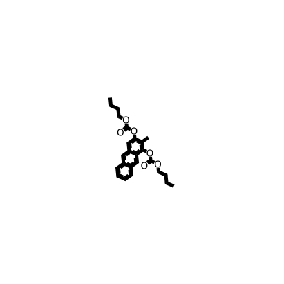 CCCCOC(=O)Oc1cc2cc3ccccc3cc2c(OC(=O)OCCCC)c1C